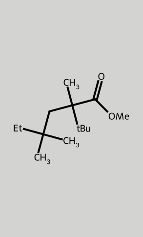 CCC(C)(C)CC(C)(C(=O)OC)C(C)(C)C